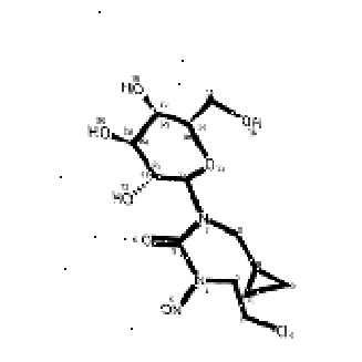 O=NN(CCCl)C(=O)N(CC1CC1)C1O[C@H](CO)[C@H](O)[C@H](O)[C@H]1O